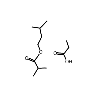 CC(C)CCOC(=O)C(C)C.CCC(=O)O